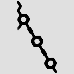 CCCc1ccc(C#Cc2ccc(C#Cc3ccc(C)cc3)cc2)c(F)c1